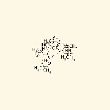 CC1(C)COP(N(CCCN(C2CC(C)(C)NC(C)(C)C2)P2OCC(C)(C)CO2)C2CC(C)(C)NC(C)(C)C2)OC1